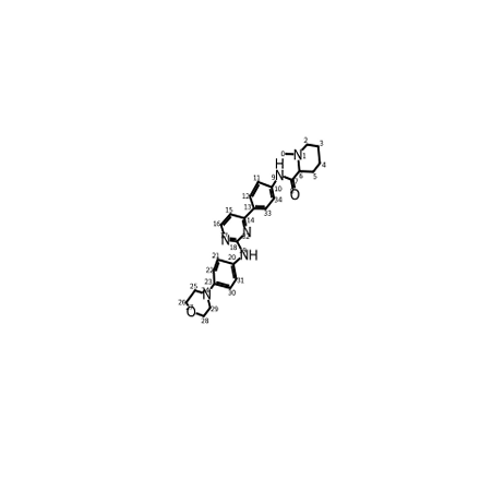 CN1CCCCC1C(=O)Nc1ccc(-c2ccnc(Nc3ccc(N4CCOCC4)cc3)n2)cc1